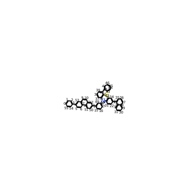 c1ccc(-c2ccc3c(ccc4cc(-c5cccc(N(c6ccc(-c7cccc8ccccc78)cc6)c6cccc7c6sc6ccccc67)c5)ccc43)c2)cc1